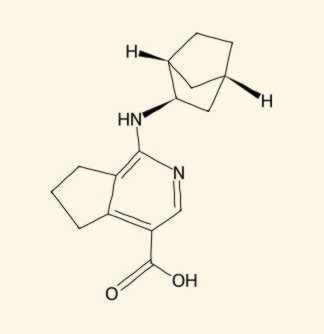 O=C(O)c1cnc(N[C@@H]2C[C@H]3CC[C@@H]2C3)c2c1CCC2